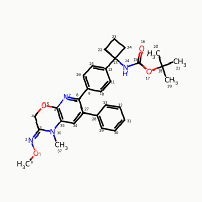 CO/N=C1/COc2nc(-c3ccc(C4(NC(=O)OC(C)(C)C)CCC4)cc3)c(-c3ccccc3)cc2N1C